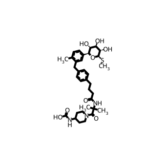 CS[C@H]1O[C@@H](c2ccc(C)c(Cc3ccc(CCCC(=O)NC(C)(C)C(=O)N4CCC(NC(=O)O)CC4)cc3)c2)[C@H](O)[C@@H](O)[C@@H]1O